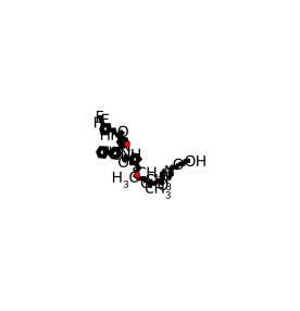 CC(C)(CCC(=O)N1CCN(CCOCCO)CC1)OCCC(C)(C)SCc1cccc(C(=O)Nc2ccc(N3CCCCC3)cc2-c2cc(C(=O)NCc3cccc(C(F)(F)F)c3)ccn2)c1